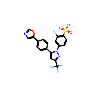 CS(=O)(=O)c1ccc(-n2nc(C(F)(F)F)cc2-c2ccc(-c3cnco3)cc2)cc1F